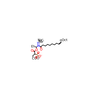 CCCCCCCC/C=C\CCCCCCCC(=O)NC(CC)OC(=O)C(CC(=O)[O-])S(=O)(=O)[O-].[Na+].[Na+]